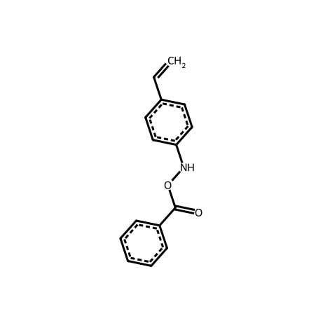 C=Cc1ccc(NOC(=O)c2ccccc2)cc1